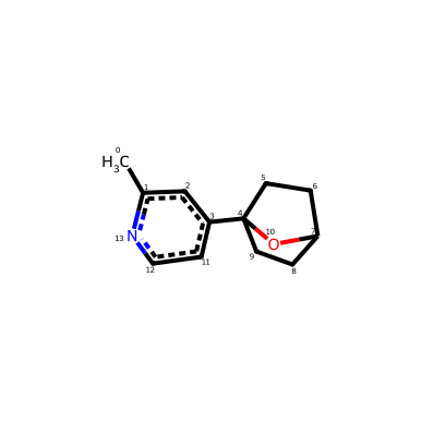 Cc1cc(C23CCC(CC2)O3)ccn1